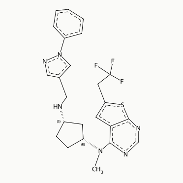 CN(c1ncnc2sc(CC(F)(F)F)cc12)[C@@H]1CC[C@H](NCc2cnn(-c3ccccc3)c2)C1